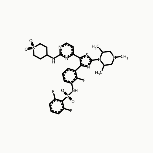 CC1CN(C)CC(C)N1c1nc(-c2cccc(NS(=O)(=O)c3c(F)cccc3F)c2F)c(-c2ccnc(NC3CCS(=O)(=O)CC3)n2)s1